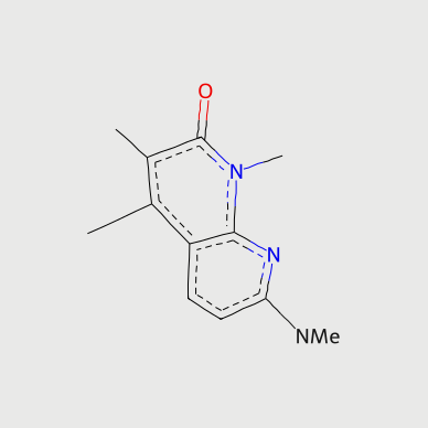 CNc1ccc2c(C)c(C)c(=O)n(C)c2n1